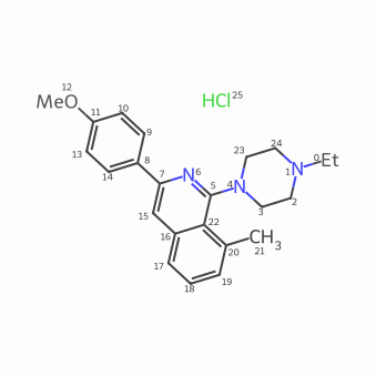 CCN1CCN(c2nc(-c3ccc(OC)cc3)cc3cccc(C)c23)CC1.Cl